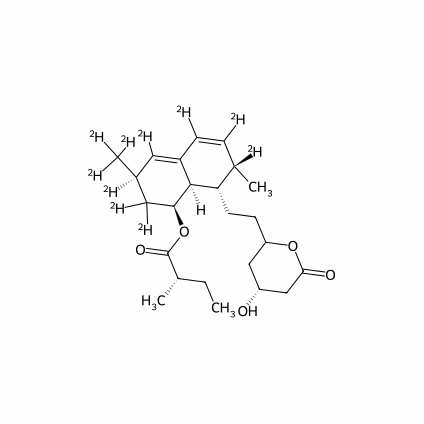 [2H]C1=C([2H])[C@]([2H])(C)[C@H](CCC2C[C@@H](O)CC(=O)O2)[C@@H]2C1=C([2H])[C@]([2H])(C([2H])([2H])[2H])C([2H])([2H])[C@@H]2OC(=O)[C@@H](C)CC